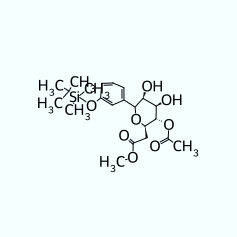 COC(=O)C[C@H]1OC(c2cccc(O[Si](C)(C)C(C)(C)C)c2)[C@@H](O)[C@@H](O)[C@@H]1OC(C)=O